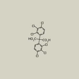 O=C(O)C(C(=O)O)(c1ccc(Cl)c(Cl)c1Cl)c1ccc(Cl)c(Cl)c1Cl